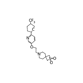 O=S1(=O)CC2(CCN(CCOc3ccc(C4CCC(C(F)(F)F)CC4)nc3)CC2)C1